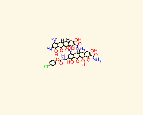 C=Nc1cc(N(C)C)c2c(c1O)C(=O)C1=C(ON(C)c3cc(CNC(=O)Oc4ccc(Cl)cc4)c(O)c4c3C[C@H]3CC5CC(O)=C(C(N)=O)C(=O)C5C(O)=C3C4=O)[C@]3(O)C(=O)C(C(N)=O)=C(O)C[C@@H]3C[C@@H]1C2